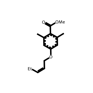 CC/C=C\COc1cc(C)c(C(=O)OC)c(C)c1